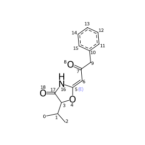 CC(C)C1O/C(=C/C(=O)Cc2ccccc2)NC1=O